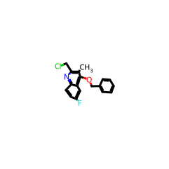 Cc1c(CCl)nc2ccc(F)cc2c1OCc1ccccc1